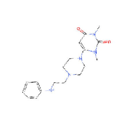 Cn1c(N2CCN(CCNc3ccccc3)CC2)cc(=O)n(C)c1=O